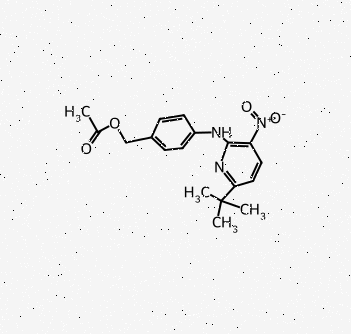 CC(=O)OCc1ccc(Nc2nc(C(C)(C)C)ccc2[N+](=O)[O-])cc1